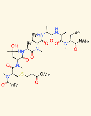 CCCC(=O)N(C)[C@H](CSCCC(=O)OC)C(=O)N(C)[C@@H](CC(C)(C)O)C(=O)N[C@H](C(=O)N(C)[C@@H](CC(C)C)C(=O)N[C@H](C)C(=O)N[C@@H](C)C(=O)N(C)[C@@H](CC(C)C)C(=O)NC)C(C)C